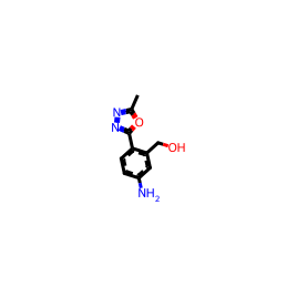 Cc1nnc(-c2ccc(N)cc2CO)o1